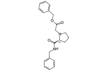 O=C(CN1CCC[C@H]1C(=O)NCc1ccccc1)OCc1ccccc1